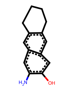 Nc1cc2cc3c(cc2cc1O)CCCC3